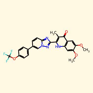 COc1cc2[nH]c(-c3nc4ccc(-c5ccc(OC(F)(F)F)cc5)cn4n3)c(C)c(=O)c2cc1OC